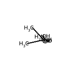 CCCCCCCCCCCCCCCCCCN(CCCCCCCCCCCCCCCCCC)C(=O)C(CCC(N)=O)NC(=O)C1CCC(=O)N1